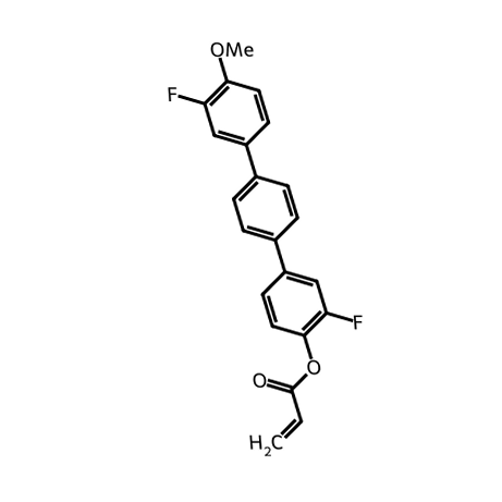 C=CC(=O)Oc1ccc(-c2ccc(-c3ccc(OC)c(F)c3)cc2)cc1F